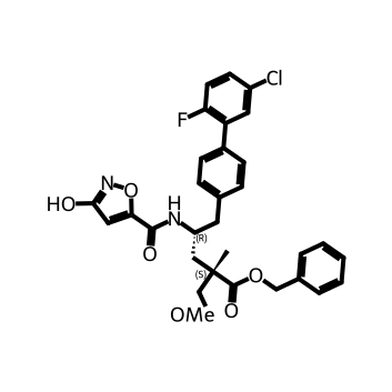 COC[C@](C)(C[C@@H](Cc1ccc(-c2cc(Cl)ccc2F)cc1)NC(=O)c1cc(O)no1)C(=O)OCc1ccccc1